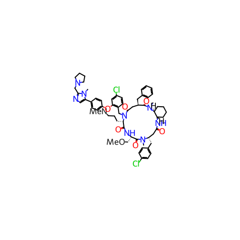 CNCCC[C@H]1C(=O)N[C@@H](COC)C(=O)N(C)[C@@H](Cc2ccc(Cl)cc2)CC(=O)N[C@H]2CCCC[C@@H]2N(C)C(=O)[C@H](Cc2ccccc2)CC(=O)N1Cc1ccc(Cl)cc1Oc1ccc(-c2cnc(CN3CCCC3)n2C)cc1